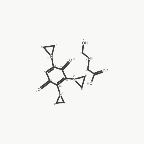 O=C(O)CNCO.O=C1C=C(N2CC2)C(=O)C(N2CC2)=C1N1CC1